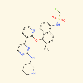 Cc1ccc2c(NS(=O)(=O)CF)cccc2c1Oc1ncccc1-c1ccnc(NC2CCCNC2)n1